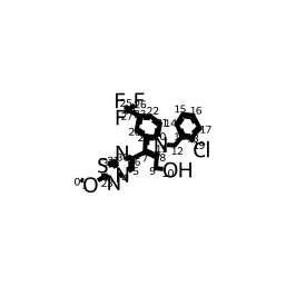 COc1nn2cc(-c3c(CO)n(Cc4ccccc4Cl)c4ccc(C(F)(F)F)cc34)nc2s1